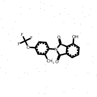 Cc1cc(OC(F)(F)F)ccc1N1C(=O)c2cccc(O)c2C1=O